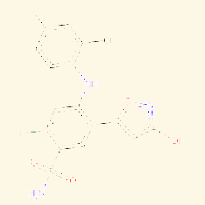 Cc1cc(I)ccc1Nc1cc(F)c(S(N)(=O)=O)cc1-c1cc(O)no1